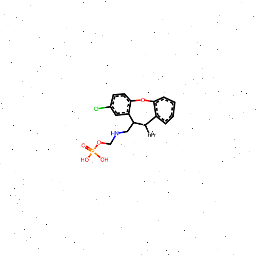 CCCC1c2ccccc2Oc2ccc(Cl)cc2C1CNCOP(=O)(O)O